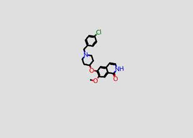 COc1cc2c(=O)[nH]ccc2cc1OC1CCN(Cc2ccc(Cl)cc2)CC1